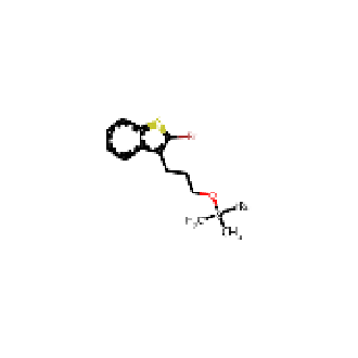 CC(C)(C)[Si](C)(C)OCCCc1c(Br)sc2ccccc12